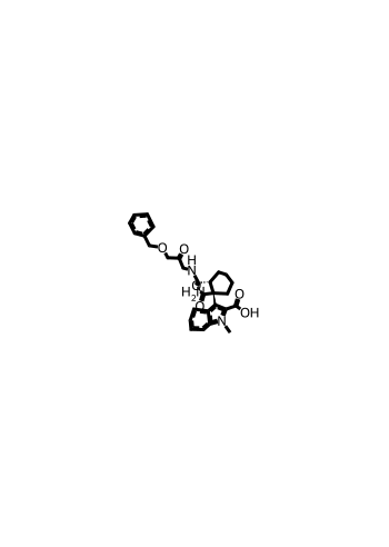 Cn1c(C(=O)O)c([C@]2(C(N)=O)CCCC[C@H]2C(=O)NCC(=O)COCc2ccccc2)c2ccccc21